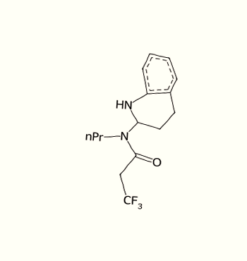 CCCN(C(=O)CC(F)(F)F)C1CCc2ccccc2N1